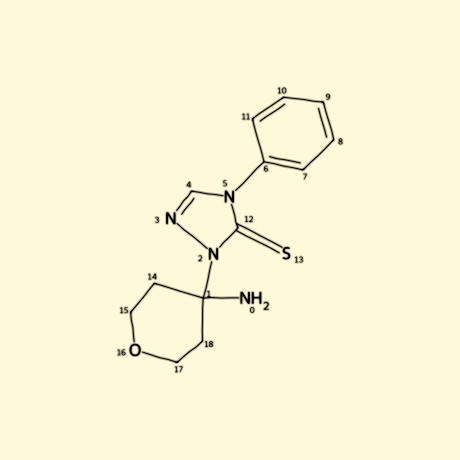 NC1(n2ncn(-c3ccccc3)c2=S)CCOCC1